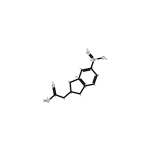 O=C(O)CC1Cc2ccc([N+](=O)[O-])cc2C1